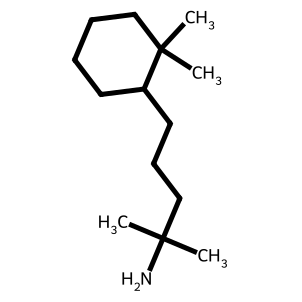 CC(C)(N)CCCC1CCCCC1(C)C